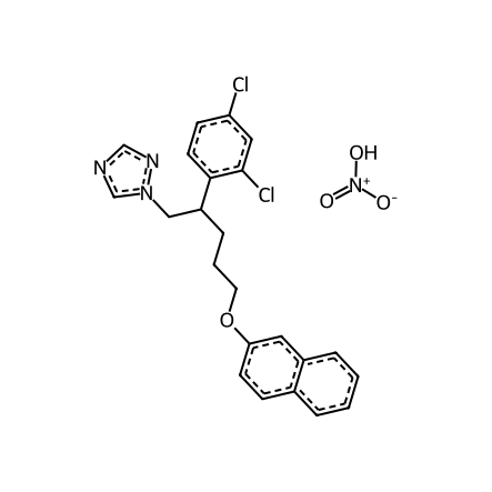 Clc1ccc(C(CCCOc2ccc3ccccc3c2)Cn2cncn2)c(Cl)c1.O=[N+]([O-])O